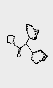 O=C(C(c1ccccc1)c1ccccc1)N1CCC1